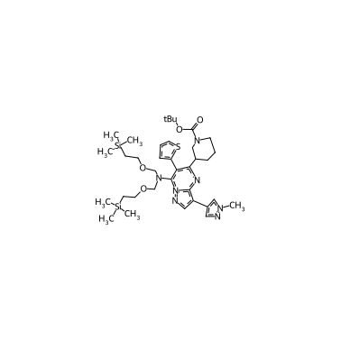 Cn1cc(-c2cnn3c(N(COCC[Si](C)(C)C)COCC[Si](C)(C)C)c(-c4cccs4)c(C4CCCN(C(=O)OC(C)(C)C)C4)nc23)cn1